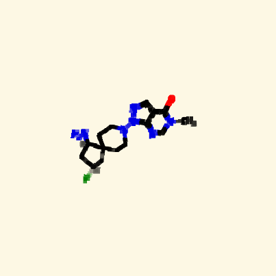 Cn1cnc2c(cnn2N2CCC3(CC2)C[C@H](F)C[C@H]3N)c1=O